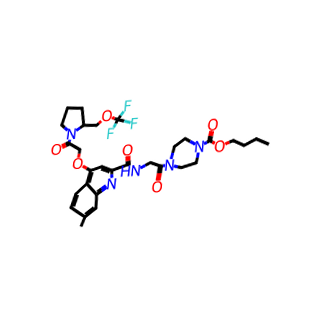 CCCCOC(=O)N1CCN(C(=O)CNC(=O)c2cc(OCC(=O)N3CCCC3COC(F)(F)F)c3ccc(C)cc3n2)CC1